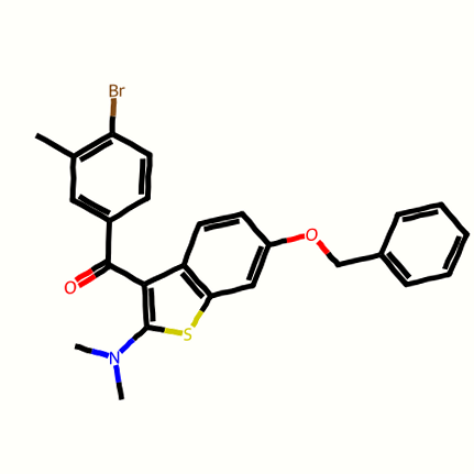 Cc1cc(C(=O)c2c(N(C)C)sc3cc(OCc4ccccc4)ccc23)ccc1Br